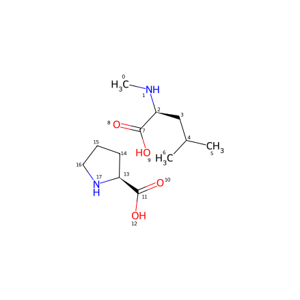 CN[C@@H](CC(C)C)C(=O)O.O=C(O)[C@@H]1CCCN1